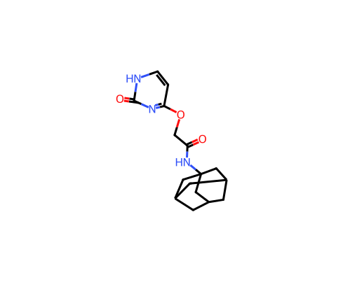 O=C(COc1cc[nH]c(=O)n1)NC12CC3CC(CC(C3)C1)C2